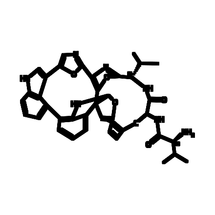 CC(C)[C@H](N)C(=O)NC1Cc2ccc3c(c2)C24c5cccc(c5NC2O3)-c2cccc3[nH]cc(c23)-c2cnc(o2)-c2nc(oc24)[C@H](C(C)C)NC1=O